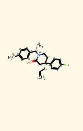 C=CC[C@@]1(c2ccc(F)cc2)CCN([C@@H](C)c2ccc(C)cc2)C(=O)C1